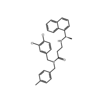 Cc1ccc(CN(Cc2ccc(Cl)c(Cl)c2)C(=O)CCN[C@H](C)c2cccc3ccccc23)cc1